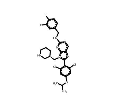 CC(C)Oc1cc(Cl)c(-c2nc3cnc(NCc4ccc(F)c(F)c4)nc3n2C[C@@H]2CCCNC2)c(Cl)c1